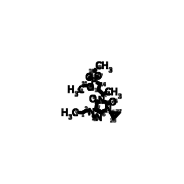 CCCn1cnc2c1c(=O)n(C(C)CCP(=O)(OCC)OCC)c(=O)n2C1CC1